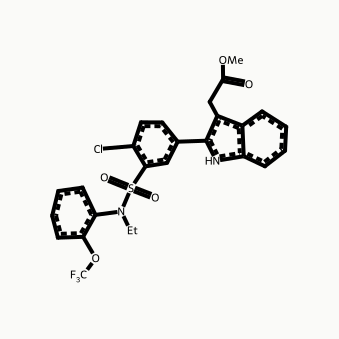 CCN(c1ccccc1OC(F)(F)F)S(=O)(=O)c1cc(-c2[nH]c3ccccc3c2CC(=O)OC)ccc1Cl